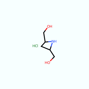 Cl.OCC1CC(CO)N1